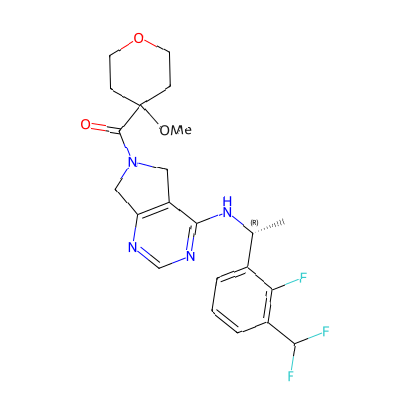 COC1(C(=O)N2Cc3ncnc(N[C@H](C)c4cccc(C(F)F)c4F)c3C2)CCOCC1